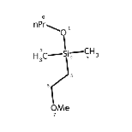 CCCO[Si](C)(C)CCOC